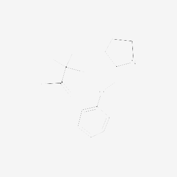 O=C(O)C(F)(F)F.c1ccc(OC[C@@H]2CCCN2)cc1